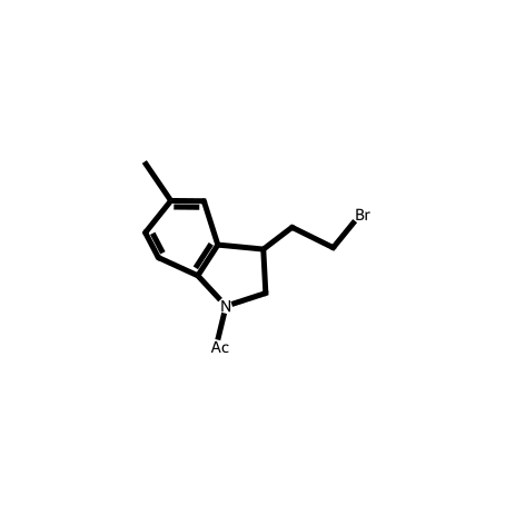 CC(=O)N1CC(CCBr)c2cc(C)ccc21